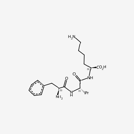 CC(C)[C@H](NC(=O)[C@@H](N)Cc1ccccc1)C(=O)N[C@@H](CCCCN)C(=O)O